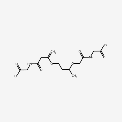 C=C(CC(=O)NCC(=O)CC)OCCC(C)OCC(=O)NCC(=O)C(C)C